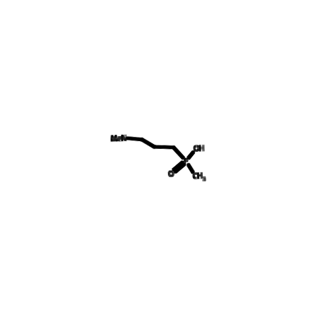 CNCCCP(C)(=O)O